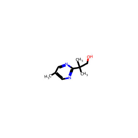 Cc1cnc(C(C)(C)CO)nc1